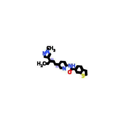 C=C/C(=C\C=C1\C=NC(NC(=O)c2ccc3ccsc3c2)=CC1)c1cnn(C)c1